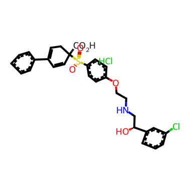 Cl.O=C(O)C1(S(=O)(=O)c2ccc(OCCNC[C@H](O)c3cccc(Cl)c3)cc2)C=CC(c2ccccc2)=CC1